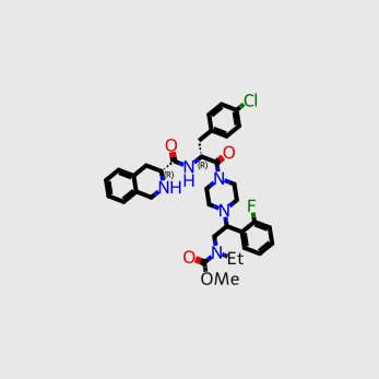 CCN(CC(c1ccccc1F)N1CCN(C(=O)[C@@H](Cc2ccc(Cl)cc2)NC(=O)[C@H]2Cc3ccccc3CN2)CC1)C(=O)OC